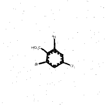 [2H]c1cc(C(F)(F)F)cc(Br)c1C(=O)O